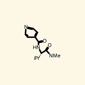 CNC(=O)[C@@H](NC(=O)c1ccncc1)C(C)C